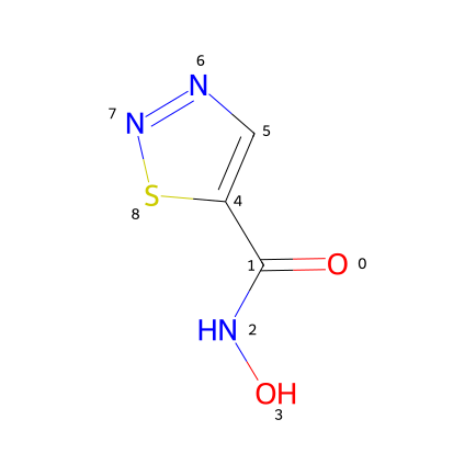 O=C(NO)c1cnns1